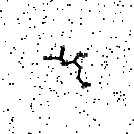 CSCCC(NC(=O)OCC(C)C)C(=O)O